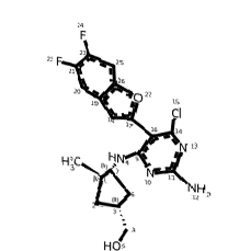 C[C@@H]1C[C@@H](CO)C[C@H]1Nc1nc(N)nc(Cl)c1-c1cc2cc(F)c(F)cc2o1